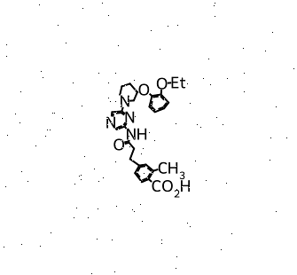 CCOc1ccccc1OC1CCCN(c2cncc(NC(=O)CCc3ccc(C(=O)O)c(C)c3)n2)C1